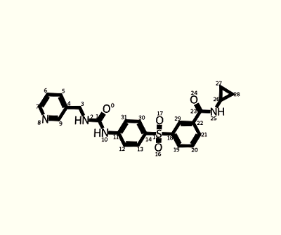 O=C(NCc1cccnc1)Nc1ccc(S(=O)(=O)c2cccc(C(=O)NC3CC3)c2)cc1